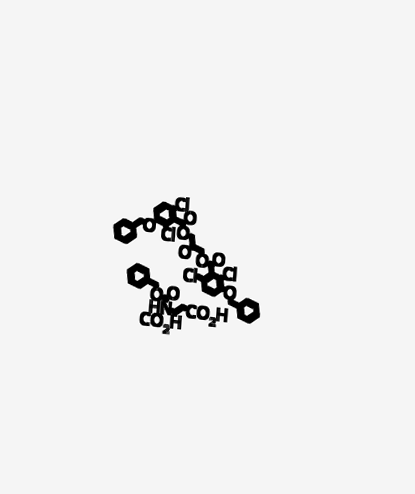 O=C(COC(=O)c1c(Cl)ccc(OCc2ccccc2)c1Cl)COC(=O)c1c(Cl)ccc(OCc2ccccc2)c1Cl.O=C(O)C[C@H](NC(=O)OCc1ccccc1)C(=O)O